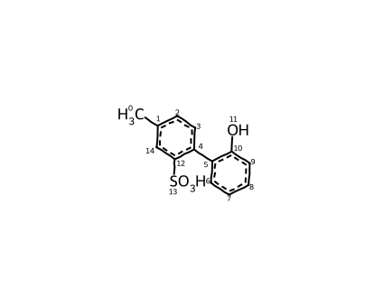 Cc1ccc(-c2ccccc2O)c(S(=O)(=O)O)c1